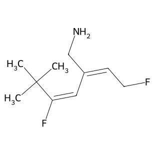 CC(C)(C)/C(F)=C\C(=C/CF)CN